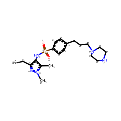 Cc1c(NS(=O)(=O)c2ccc(CCCN3CCNCC3)cc2)c(CC(C)C)nn1C